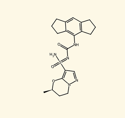 C[C@@H]1CCn2ncc(S(N)(=O)=NC(=O)Nc3c4c(cc5c3CCC5)CCC4)c2O1